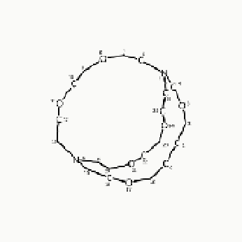 C1CCOCN2CCOCCOCCN(CCOC1)CCOCCOCC2